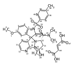 COc1ccc2c(c1)C(c1cccnc1OC)(N1C[C@H](O)C[C@H]1C(=O)N(C)C)C(=O)N2S(=O)(=O)c1ccc(C)cn1.O=C(O)C=CC(=O)O